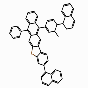 CC1C=C(c2c3ccccc3c(-c3ccccc3)c3cc4sc5cc(-c6cccc7ccccc67)ccc5c4cc23)C=CC1C1CC=Cc2ccccc21